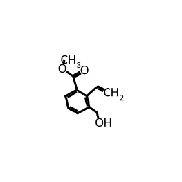 C=Cc1c(CO)cccc1C(=O)OC